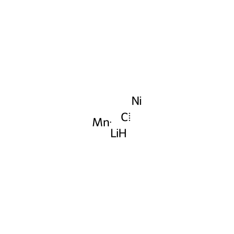 [C].[LiH].[Mn].[Ni]